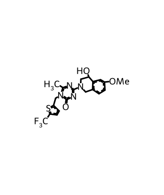 COc1ccc2c(c1)C(O)CN(c1nc(C)n(Cc3ccc(C(F)(F)F)s3)c(=O)n1)C2